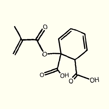 C=C(C)C(=O)OC1(C(=O)O)C=CC=CC1C(=O)O